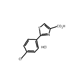 Cl.O=C(O)c1csc(-c2ccc(Cl)cc2)n1